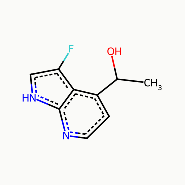 CC(O)c1ccnc2[nH]cc(F)c12